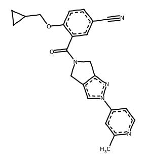 Cc1cc(-n2cc3c(n2)CN(C(=O)c2cc(C#N)ccc2OCC2CC2)C3)ccn1